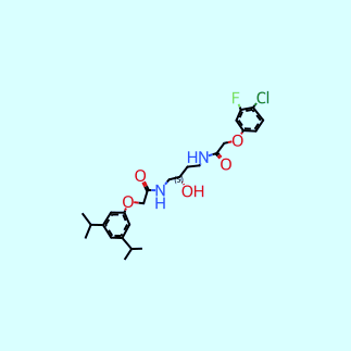 CC(C)c1cc(OCC(=O)NC[C@@H](O)CCNC(=O)COc2ccc(Cl)c(F)c2)cc(C(C)C)c1